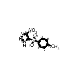 Cc1ccc(S(=O)(=O)c2[nH]nnc2[N+](=O)[O-])cc1